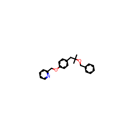 CC(C)([CH]c1ccc(OCc2ccccn2)cc1)OCc1ccccc1